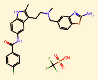 Cc1[nH]c2ccc(NC(=O)c3ccc(F)cc3)cc2c1CCN(C)Cc1ccc2sc(N)nc2c1.O=S(=O)(O)C(F)(F)F